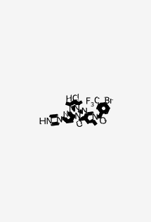 Cc1cc(C)n(-c2nc3c(c(=O)n2-c2ccc(N4CCNCC4)nc2)CC(C)N(C(=O)c2ccc(Br)c(C(F)(F)F)c2)C3)n1.Cl